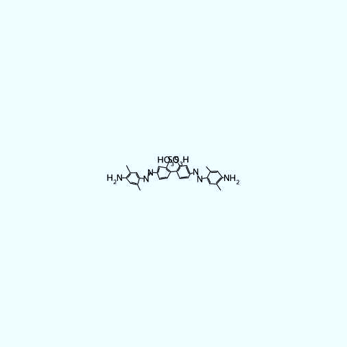 Cc1cc(/N=N/c2ccc(-c3ccc(/N=N/c4cc(C)c(N)cc4C)cc3S(=O)(=O)O)c(S(=O)(=O)O)c2)c(C)cc1N